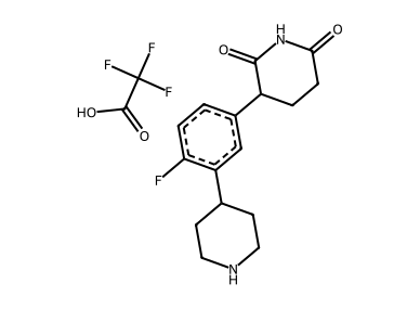 O=C(O)C(F)(F)F.O=C1CCC(c2ccc(F)c(C3CCNCC3)c2)C(=O)N1